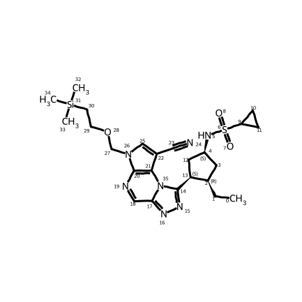 CC[C@@H]1C[C@H](NS(=O)(=O)C2CC2)C[C@@H]1c1nnc2cnc3c(c(C#N)cn3COCC[Si](C)(C)C)n12